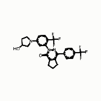 O=c1c2c(c(-c3ccc(C(F)(F)F)cc3)nn1-c1cc(N3CCC(O)C3)ccc1C(F)(F)F)CCC2